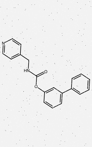 O=C(NCc1ccncc1)Oc1cccc(-c2ccccc2)c1